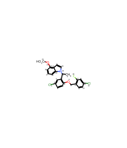 CC(c1cc(Cl)ccc1OCc1ccc(Cl)cc1F)n1ccc2c(OC(=O)O)cccc21